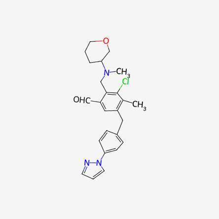 Cc1c(Cc2ccc(-n3cccn3)cc2)cc(C=O)c(CN(C)C2CCCOC2)c1Cl